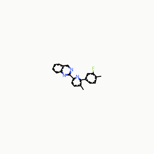 Cc1ccc(-c2nc(-c3ncc4ccccc4n3)ccc2C)cc1F